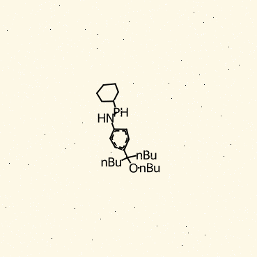 CCCCOC(CCCC)(CCCC)c1ccc(NPC2CCCCC2)cc1